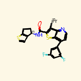 CC(C)c1c(C(=O)N[C@@H]2CCc3sccc32)sc2c(-c3cc(F)cc(F)c3)ccnc12